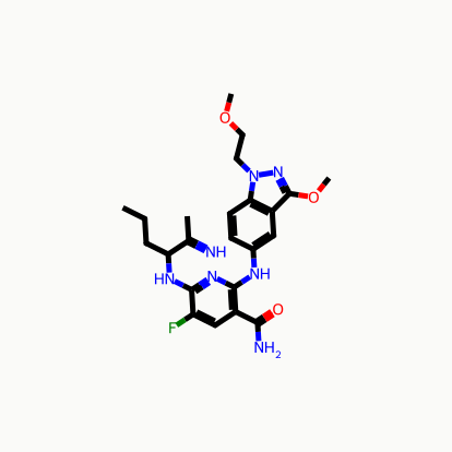 CCCC(Nc1nc(Nc2ccc3c(c2)c(OC)nn3CCOC)c(C(N)=O)cc1F)C(C)=N